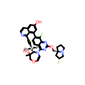 CC(C)[Si](C#Cc1nccc2cc(O)cc(-c3c(F)cc4c(N5C=COCC(C)(O)C5)nc(OC[C@@]56CCCN5C[C@H](F)C6)nc4c3F)c12)(C(C)C)C(C)C